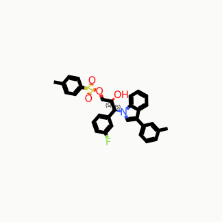 Cc1ccc(S(=O)(=O)OC[C@@H](O)[C@H](c2cccc(F)c2)n2cc(-c3cccc(C)c3)c3ccccc32)cc1